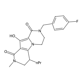 CCCC1CN(C)C(=O)c2c(O)c3n(c21)CCN(Cc1ccc(F)cc1)C3=O